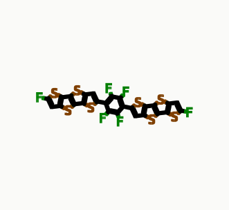 Fc1cc2sc3c4sc(-c5c(F)c(F)c(-c6cc7sc8c9sc(F)cc9sc8c7s6)c(F)c5F)cc4sc3c2s1